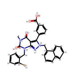 Cn1c(=O)c2c(-c3cccc(C(=O)O)c3)n(Cc3cccc4ccccc34)nc2n(Cc2ccccc2Br)c1=O